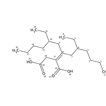 CCCCC(CC)CC(CC(CC)CCCC)=C(CC(=O)O)C(=O)O